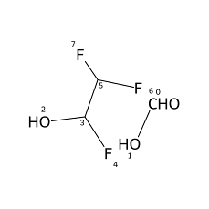 O=CO.OC(F)C(F)F